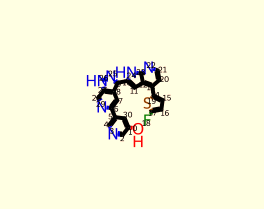 Oc1cncc(-c2cc3c(-c4cc5c(-c6ccc(F)s6)ccnc5[nH]4)n[nH]c3cn2)c1